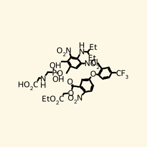 CCC(CC)Nc1c([N+](=O)[O-])cc(C)c(C)c1[N+](=O)[O-].CCOC(=O)COC(=O)c1cc(Oc2ccc(C(F)(F)F)cc2Cl)ccc1[N+](=O)[O-].O=C(O)CNCP(=O)(O)O